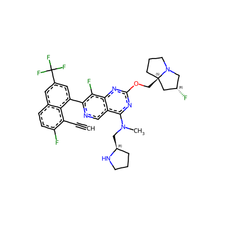 C#Cc1c(F)ccc2cc(C(F)(F)F)cc(-c3ncc4c(N(C)C[C@H]5CCCN5)nc(OC[C@@]56CCCN5C[C@H](F)C6)nc4c3F)c12